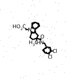 CC1(C(=O)NCc2ccc(Cl)c(Cl)c2)CCc2c(c3ccccc3n2CC(=O)O)C1